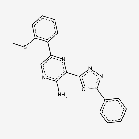 CSc1ccccc1-c1cnc(N)c(-c2nnc(-c3ccccc3)o2)n1